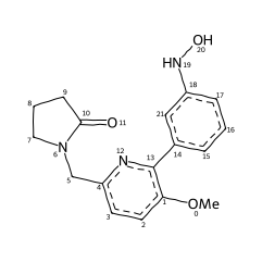 COc1ccc(CN2CCCC2=O)nc1-c1cccc(NO)c1